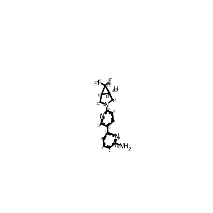 Nc1cccc(-c2ccc(N3CC4[C@H](C3)C4(F)F)nc2)n1